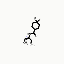 C/C=C(\CC)NC(=O)C1CCC(F)(F)CC1